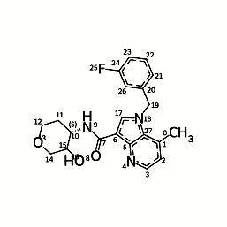 Cc1ccnc2c(C(=O)N[C@H]3CCOCC3O)cn(Cc3cccc(F)c3)c12